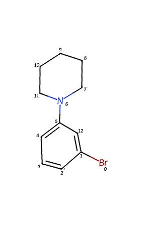 Brc1[c]ccc(N2CCCCC2)c1